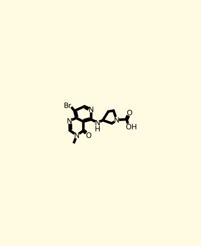 Cn1cnc2c(Br)cnc(NC3CCN(C(=O)O)C3)c2c1=O